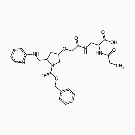 CCC(=O)NC(CNC(=O)COC1CC(CNc2ccccn2)N(C(=O)OCc2ccccc2)C1)C(=O)O